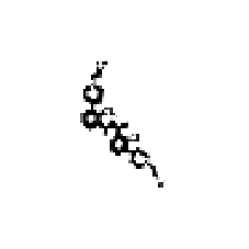 COCCN1CCC(c2cccc(C(C)C(=O)C(C)c3cccc(C4CCN(CCOC)CC4)c3Cl)c2Cl)CC1